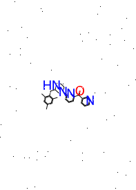 Cc1cc(C)c(CC2CN(c3cccc(C(=O)c4cccnc4)n3)CCN2)c(C)c1